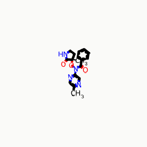 Cc1cnc(N(O[C@@]2(C)CCNC2=O)C(=O)c2ccccc2)cn1